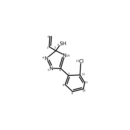 C=CC1(S)N=NC(c2ccccc2Cl)=N1